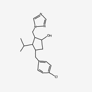 CC(C)C1C(Cc2ccc(Cl)cc2)CC(O)C1Cn1cncn1